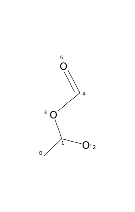 CC([O])OC=O